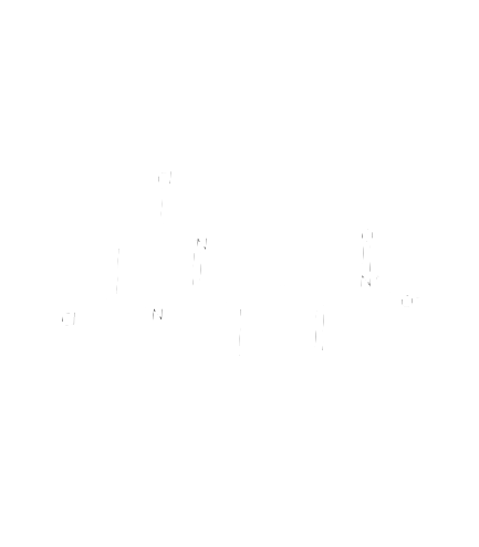 O=[N+]([O-])c1cccc(-c2nc(Cl)cc(Cl)n2)c1